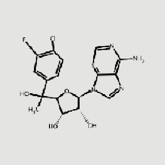 CC(O)(c1ccc(Cl)c(F)c1)[C@H]1O[C@@H](n2cnc3c(N)ncnc32)[C@H](O)[C@@H]1O